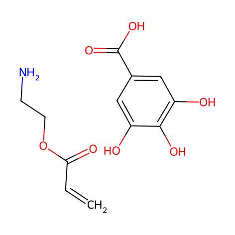 C=CC(=O)OCCN.O=C(O)c1cc(O)c(O)c(O)c1